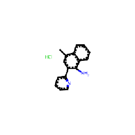 Cc1cc(-c2ccccn2)c(N)c2ccccc12.Cl